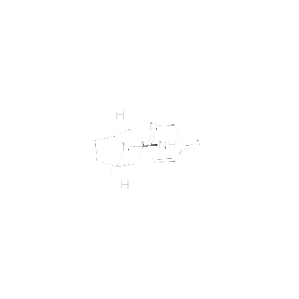 CC(=O)c1ccc(N2[C@@H]3CC[C@H]2C[C@@H](N)C3)nc1